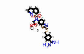 COC(=O)CN(c1ccc2nc(SCc3ccc(C(=N)N)cc3)sc2c1)S(=O)(=O)c1cccc2cccnc12